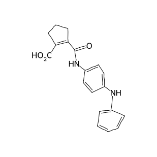 O=C(O)C1=C(C(=O)Nc2ccc(Nc3ccccc3)cc2)CCC1